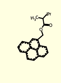 CC(C)C(C)C(=O)OCc1cc2cccc3ccc4cccc1c4c32